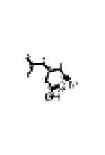 CC(C)CC(CC#N)CC(=O)O